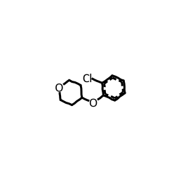 Clc1ccccc1OC1CCOCC1